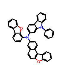 c1ccc(-n2c3ccccc3c3ccc(N(c4ccc5c(ccc6oc7ccccc7c65)c4)c4cccc5c4oc4ccccc45)cc32)cc1